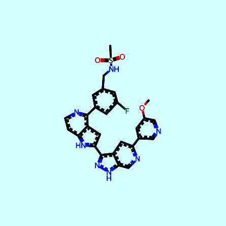 COc1cncc(-c2cc3c(-c4cc5c(-c6cc(F)cc(CNS(C)(=O)=O)c6)nccc5[nH]4)n[nH]c3cn2)c1